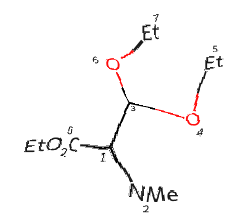 CCOC(=O)C(NC)C(OCC)OCC